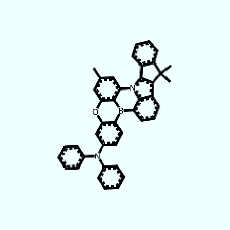 Cc1cc2c3c(c1)-n1c4c(c5cccc(c51)B3c1ccc(N(c3ccccc3)c3ccccc3)cc1O2)C(C)(C)c1ccccc1-4